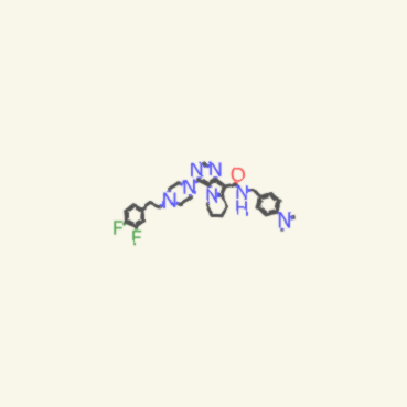 CN(C)c1ccc(CNC(=O)c2c3n(c4c(N5CCN(CCc6ccc(F)c(F)c6)CC5)ncnc24)CCCC3)cc1